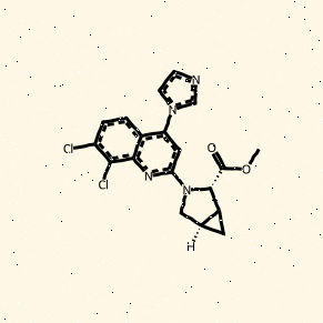 COC(=O)[C@@H]1C2C[C@H]2CN1c1cc(-n2ccnc2)c2ccc(Cl)c(Cl)c2n1